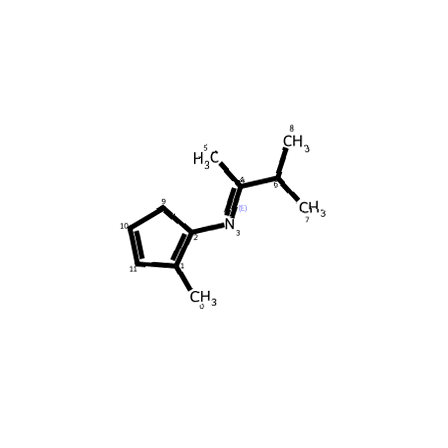 CC1=C(/N=C(\C)C(C)C)CC=C1